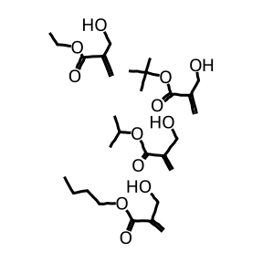 C=C(CO)C(=O)OC(C)(C)C.C=C(CO)C(=O)OC(C)C.C=C(CO)C(=O)OCC.C=C(CO)C(=O)OCCCC